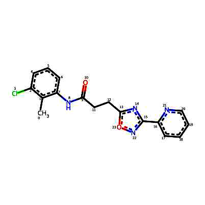 Cc1c(Cl)cccc1NC(=O)CCc1nc(-c2ccccn2)no1